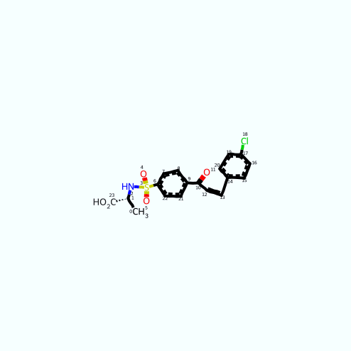 C[C@@H](NS(=O)(=O)c1ccc(C(=O)/C=C\c2ccc(Cl)cc2)cc1)C(=O)O